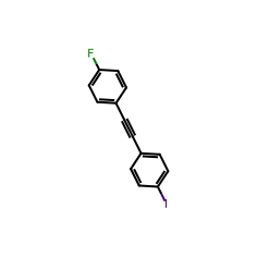 Fc1ccc(C#Cc2ccc(I)cc2)cc1